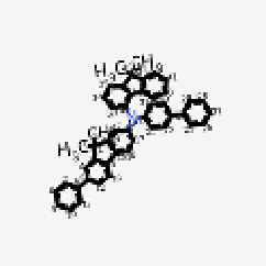 CC1(C)c2cc(-c3ccccc3)ccc2-c2ccc(N(c3ccc(-c4ccccc4)cc3)c3cccc4c3-c3ccccc3C4(C)C)cc21